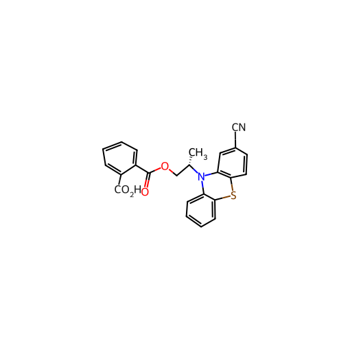 C[C@@H](COC(=O)c1ccccc1C(=O)O)N1c2ccccc2Sc2ccc(C#N)cc21